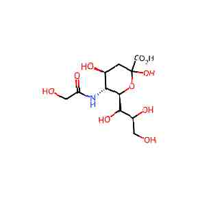 O=C(CO)N[C@@H]1[C@@H](O)CC(O)(C(=O)O)O[C@H]1C(O)C(O)CO